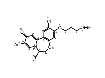 COCCCOc1cc2c(cc1Cl)-c1cc(=O)c(C(C)=O)cn1[C@H](C(C)C)CO2